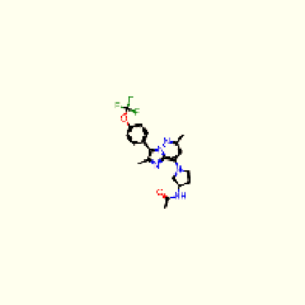 CC(=O)N[C@@H]1CCN(c2cc(C)nn3c(-c4ccc(OC(F)(F)F)cc4)c(C)nc23)C1